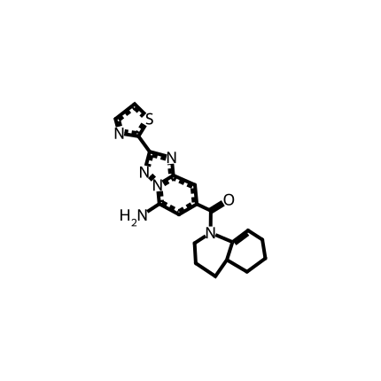 Nc1cc(C(=O)N2CCCC3CCCC=C32)cc2nc(-c3nccs3)nn12